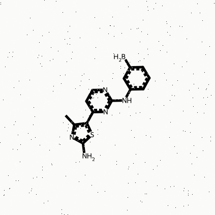 Bc1cccc(Nc2nccc(-c3sc(N)nc3C)n2)c1